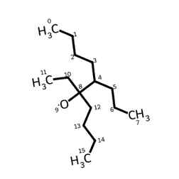 CCCCC(CCC)C([O])(CC)CCCC